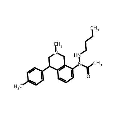 CCCCNN(C(C)=O)c1cccc2c1CN(C)CC2c1ccc(C)cc1